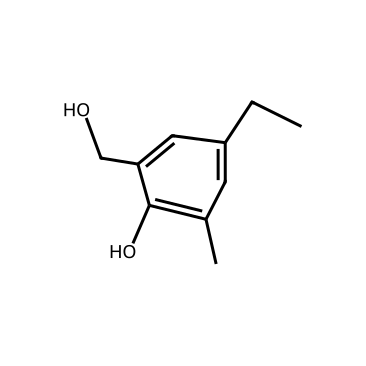 CCc1cc(C)c(O)c(CO)c1